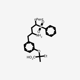 CCCCCC(CC(N)Cc1cccc(OC(C)(CC)C(=O)O)c1)S(=O)(=O)c1ccccc1